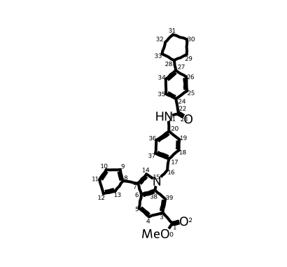 COC(=O)c1ccc2c(-c3ccccc3)cn(Cc3ccc(NC(=O)c4ccc(C5CCCCC5)cc4)cc3)c2c1